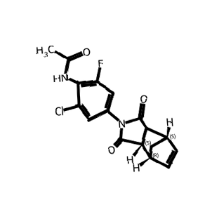 CC(=O)Nc1c(F)cc(N2C(=O)C3[C@@H]4C=C[C@@H](C4)[C@@H]3C2=O)cc1Cl